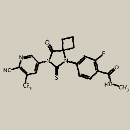 CBC(=O)c1ccc(N2C(=S)N(c3cnc(C#N)c(C(F)(F)F)c3)C(=O)C23CCC3)cc1F